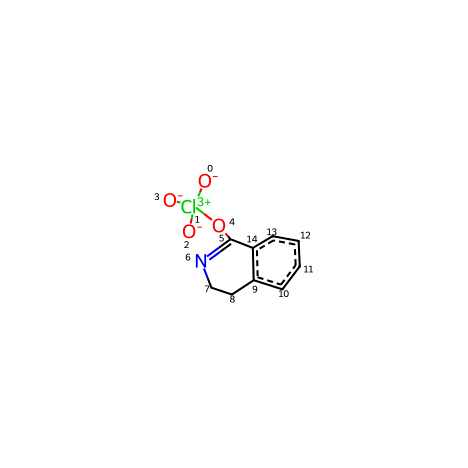 [O-][Cl+3]([O-])([O-])OC1=NCCc2ccccc21